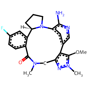 COc1c2c(nn1C)CN(C)C(=O)c1ccc(F)cc1[C@H]1CCCN1c1cc-2cnc1N